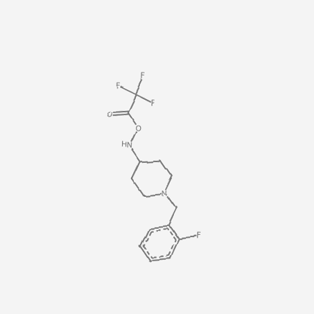 O=C(ONC1CCN(Cc2ccccc2F)CC1)C(F)(F)F